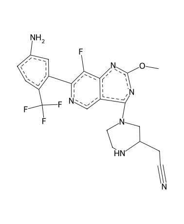 COc1nc(N2CCNC(CC#N)C2)c2cnc(-c3cc(N)ccc3C(F)(F)F)c(F)c2n1